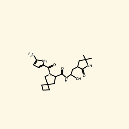 CC1(C)CC(CC(C#N)NC(=O)C2CC3(CCC3)CN2C(=O)c2ccc(C(F)(F)F)[nH]2)C(=O)N1